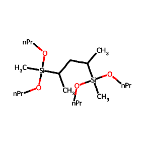 CCCO[Si](C)(OCCC)C(C)CC(C)[Si](C)(OCCC)OCCC